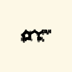 NC(Cc1cc[nH]n1)C(=O)O